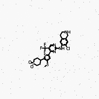 CSc1cc(-c2nc(Nc3cc4c(cc3Cl)CNCC4)ncc2C(F)(F)F)sc1C1CCS(=O)(=O)CC1